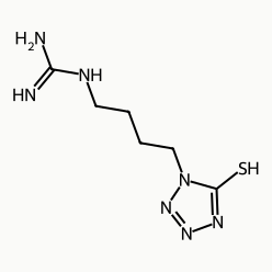 N=C(N)NCCCCn1nnnc1S